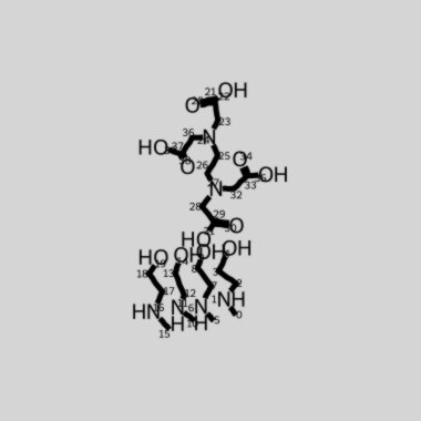 CNCCO.CNCCO.CNCCO.CNCCO.O=C(O)CN(CCN(CC(=O)O)CC(=O)O)CC(=O)O